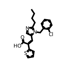 CCCCc1ncc(/C=C(\C(=O)O)c2cccs2)n1Cc1ccccc1Cl